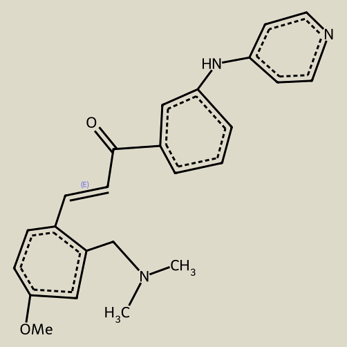 COc1ccc(/C=C/C(=O)c2cccc(Nc3ccncc3)c2)c(CN(C)C)c1